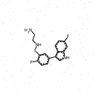 NCCNSc1cc(-c2c[nH]c3cc(F)ccc23)ccc1F